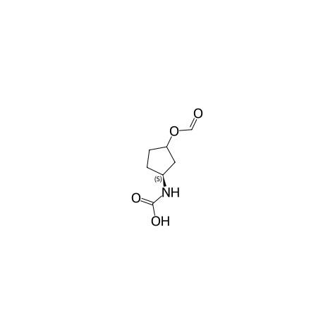 O=COC1CC[C@H](NC(=O)O)C1